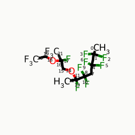 CC(F)(F)C(F)(F)CC(F)(F)C(C)(F)OCC(F)(OCC(F)(F)F)C(F)(F)F